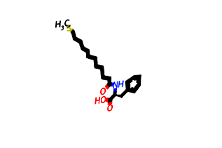 CSCCCCCCCCCCCC(=O)N[C@@H](Cc1ccccc1)C(=O)O